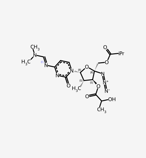 CC(C)C(=O)OC[C@@]1(N=[N+]=[N-])O[C@@H](n2ccc(/N=C/N(C)C)nc2=O)[C@@H](C)[C@@H]1OC(=O)C(C)O